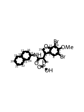 COc1c(Br)cc2c(C(C[PH](=O)O)C(=O)Nc3ccc4ccccc4c3)coc2c1Br